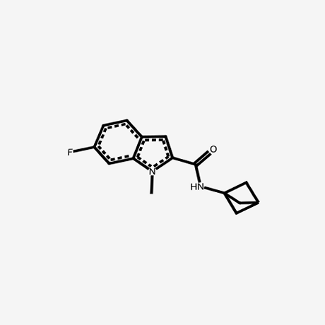 Cn1c(C(=O)NC23CC(C2)C3)cc2ccc(F)cc21